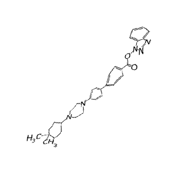 CC1(C)CCC(N2CCN(c3ccc(-c4ccc(C(=O)On5nnc6ccccc65)cc4)cc3)CC2)CC1